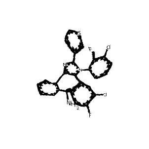 NC(=O)c1ccccc1-c1nc(-c2ccsc2)n(-c2cccc(Cl)c2F)c1-c1ccc(F)c(Cl)c1